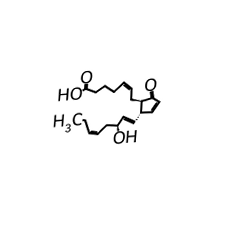 CC/C=C\C[C@H](O)/C=C/[C@H]1C=CC(=O)[C@@H]1C/C=C\CCCC(=O)O